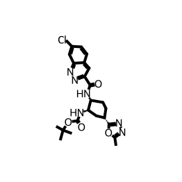 Cc1nnc([C@H]2CC[C@H](NC(=O)c3cc4ccc(Cl)cc4nn3)[C@H](NC(=O)OC(C)(C)C)C2)o1